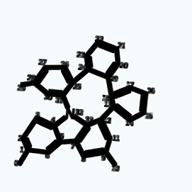 Cc1ccc2c(c1)c1cc(C)cc3c4ccccc4c4ccccc4c4ccc(C)cc4n2c31